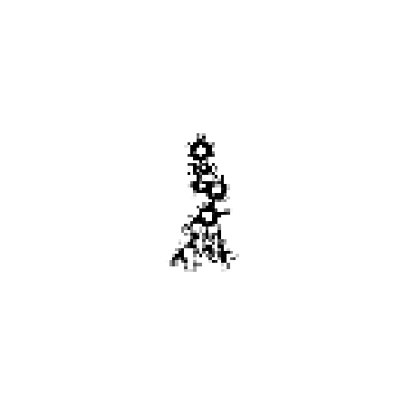 Cc1cc(NC(=O)[C@@H](CC(C)C)NC(=O)OC(C)(C)C)c(F)cc1-c1ccnc2c1ccn2S(=O)(=O)c1ccccc1